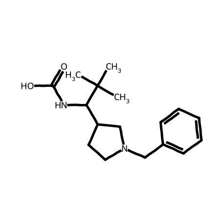 CC(C)(C)C(NC(=O)O)C1CCN(Cc2ccccc2)C1